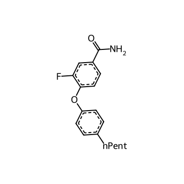 CCCCCc1ccc(Oc2ccc(C(N)=O)cc2F)cc1